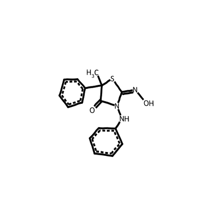 CC1(c2ccccc2)SC(=NO)N(Nc2ccccc2)C1=O